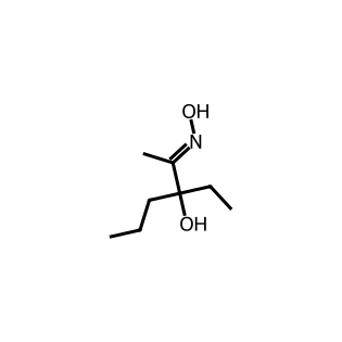 CCCC(O)(CC)/C(C)=N/O